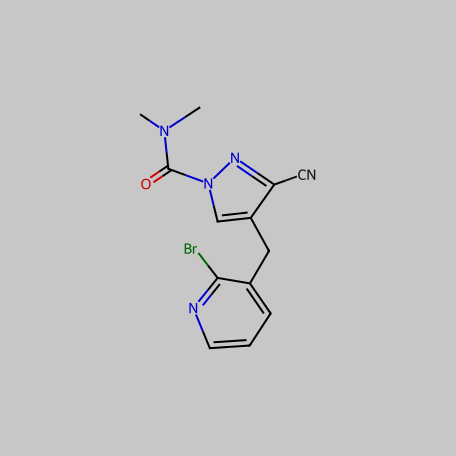 CN(C)C(=O)n1cc(Cc2cccnc2Br)c(C#N)n1